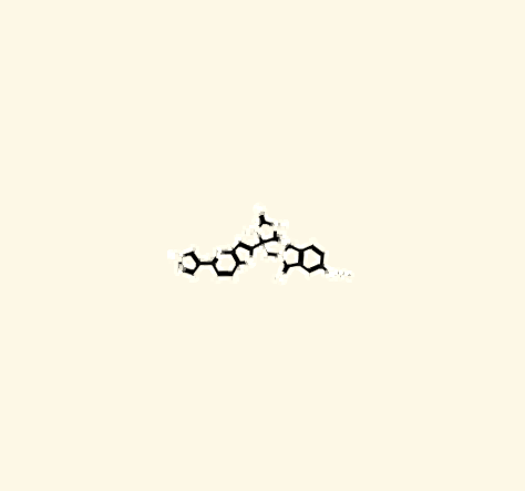 COc1ccc2c(c1)C(=O)N(C[C@@]1(c3cc4nc(-c5cn[nH]c5)ccc4o3)NC(=O)NC1=O)C2